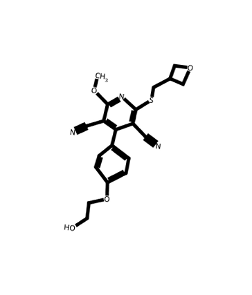 COc1nc(SCC2COC2)c(C#N)c(-c2ccc(OCCO)cc2)c1C#N